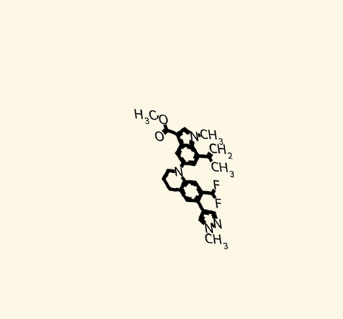 C=C(C)c1cc(N2CCCc3cc(-c4cnn(C)c4)c(C(F)F)cc32)cc2c(C(=O)OC)cn(C)c12